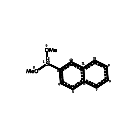 CO[SiH](OC)c1ccc2ccccc2c1